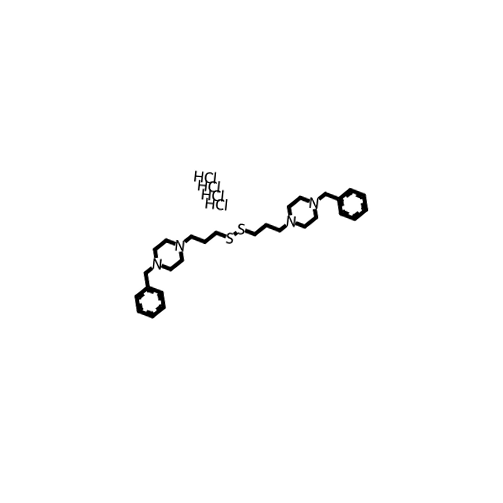 Cl.Cl.Cl.Cl.c1ccc(CN2CCN(CCCSSCCCN3CCN(Cc4ccccc4)CC3)CC2)cc1